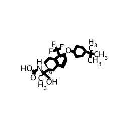 CC(C)(C)C1CCC(Oc2ccc3c(c2C(F)(F)F)CC[C@H]([C@](C)(CO)NC(=O)O)C3)CC1